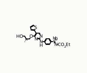 CCOC(=O)N=[SH](=O)c1ccc(Nc2ncc(-c3cccs3)c(OC[C@H](C)CO)n2)cc1